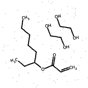 C=CC(=O)OC(CC)CCCCC.OCCO.OCCO